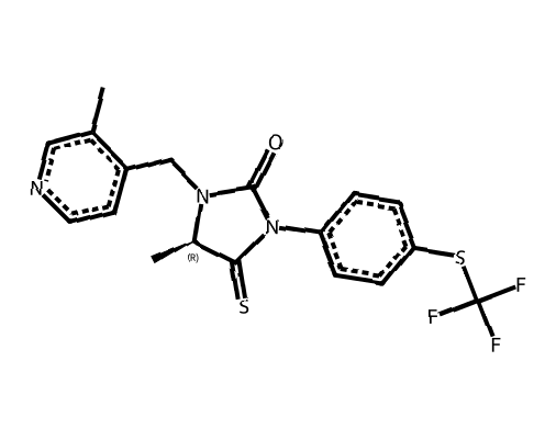 Cc1cnccc1CN1C(=O)N(c2ccc(SC(F)(F)F)cc2)C(=S)[C@H]1C